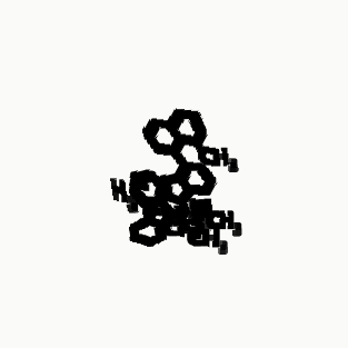 Cc1cccc2cccc(-c3cccc4c3C=C(C(C)C)[CH]4[Zr]([Cl])([Cl])([CH]3c4ccccc4-c4ccccc43)[SiH](C)C)c12